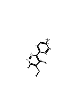 CSc1c(C)nnc(-c2ccc(Br)cc2)c1C